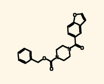 O=C(OCc1ccccc1)N1CCN(C(=O)c2ccc3occc3c2)CC1